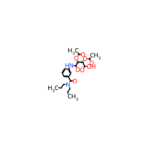 CCCN(CCC)C(=O)c1cccc(NC(=O)[C@@H](OC(C)=O)[C@H](OC(C)=O)C(=O)O)c1